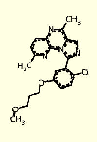 COCCCOc1ccc(Cl)c(-c2ncc3c(C)nc4ccc(C)nc4n23)c1